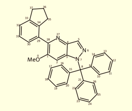 COc1cc2c(cnn2C(c2ccccc2)(c2ccccc2)c2ccccc2)nc1-c1cccc2c1CCC2